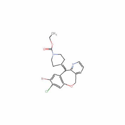 CCOC(=O)N1CCC(=C2c3cc(Br)c(Cl)cc3OCc3cccnc32)CC1